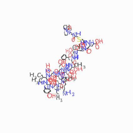 CC[C@H](C)[C@H](NC(=O)[C@H](CO)NC(=O)[C@H](Cc1ccc(O)cc1)NC(=O)[C@H](CC(=O)O)NC(=O)[C@H](CO)NC(=O)[C@@H](NC(=O)[C@H](CCc1ccccc1)NC(=O)[C@@H](NC(=O)CNC(=O)[C@H](CCC(=O)O)NC(=O)CSCC(=O)NCCN1CCCN(C)C1=O)[C@@H](C)O)[C@@H](C)O)C(=O)N[C@@H](Cc1ccc(O)cc1)C(=O)N[C@@H](CC(C)C)C(=O)N[C@@H](CC(=O)O)C(=O)N[C@H](C)CCCCN